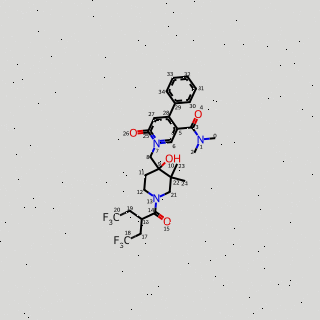 CN(C)C(=O)c1cn(CC2(O)CCN(C(=O)C(CC(F)(F)F)CC(F)(F)F)CC2(C)C)c(=O)cc1-c1ccccc1